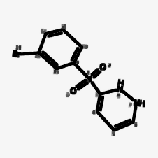 O=S(=O)(C1=CC=CNN1)c1cccc(Br)c1